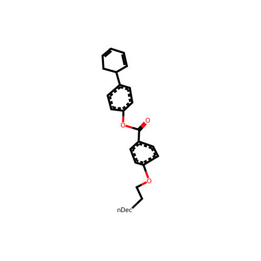 CCCCCCCCCCCCOc1ccc(C(=O)Oc2ccc(C3C=C[C]=CC3)cc2)cc1